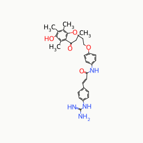 Cc1c(C)c2c(c(C)c1O)C(=O)CC(C)(CCOc1ccc(NC(=O)C=Cc3ccc(NC(=N)N)cc3)cc1)O2